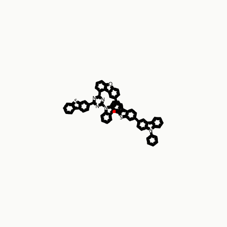 c1ccc(-n2c3ccccc3c3cc(-c4ccc5c(c4)sc4ccc(-c6ccc7oc8cccc(-c9nc(-c%10ccc%11c(c%10)sc%10ccccc%10%11)nc(-n%10c%11ccccc%11c%11ccccc%11%10)n9)c8c7c6)cc45)ccc32)cc1